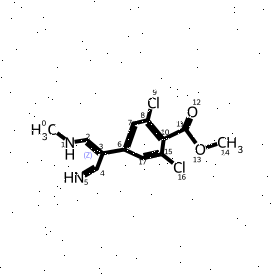 CN/C=C(\C=N)c1cc(Cl)c(C(=O)OC)c(Cl)c1